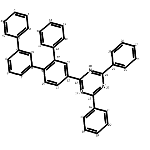 c1ccc(-c2cccc(-c3ccc(-c4nc(-c5ccccc5)nc(-c5ccccc5)n4)cc3-c3ccccc3)c2)cc1